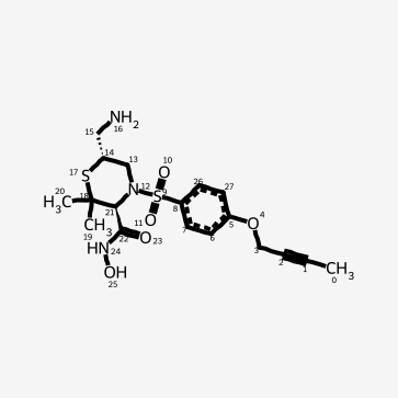 CC#CCOc1ccc(S(=O)(=O)N2C[C@@H](CN)SC(C)(C)[C@@H]2C(=O)NO)cc1